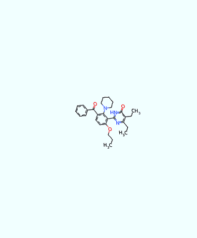 CCCOc1ccc(C(=O)c2ccccc2)c(N2CCCCC2)c1-c1nc(CC)c(CC)c(=O)[nH]1